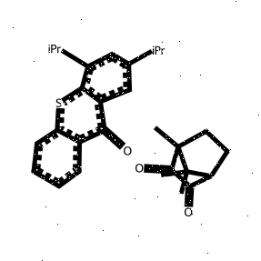 CC(C)c1cc(C(C)C)c2sc3ccccc3c(=O)c2c1.CC12CCC(C(=O)C1=O)C2(C)C